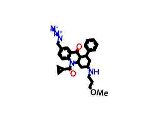 COCCCNC1CC(c2ccccc2)C2C(=O)c3cc(CN=[N+]=[N-])ccc3N(C(=O)C3CC3)C2C1